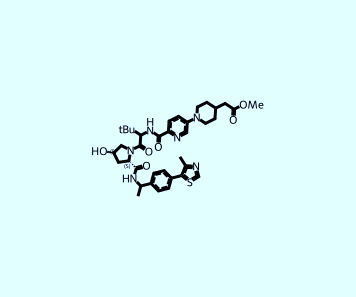 COC(=O)CC1CCN(c2ccc(C(=O)NC(C(=O)N3C[C@H](O)C[C@H]3C(=O)NC(C)c3ccc(-c4scnc4C)cc3)C(C)(C)C)nc2)CC1